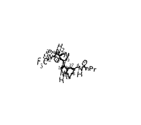 CCCC(=O)NCc1cnc2[nH]cc(-c3cncc([C@@](N)(C(=O)NCC(F)(F)F)C(C)C)c3)c2c1